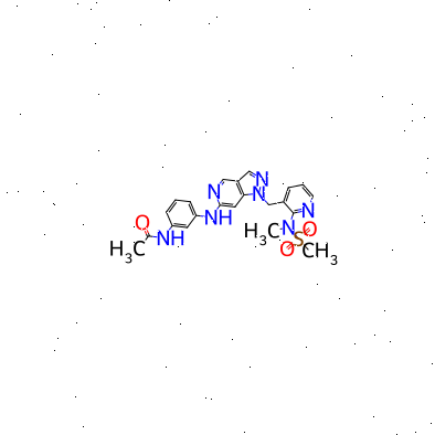 CC(=O)Nc1cccc(Nc2cc3c(cn2)cnn3Cc2cccnc2N(C)S(C)(=O)=O)c1